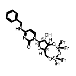 CC(C)[Si]1(C(C)C)OC[C@H]2O[C@@H](n3ccc(NCc4ccccc4)nc3=O)[C@H](O)[C@@H]2O[Si](C(C)C)(C(C)C)O1